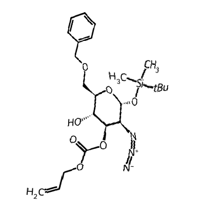 C=CCOC(=O)O[C@H]1[C@H](O)[C@@H](COCc2ccccc2)O[C@H](O[Si](C)(C)C(C)(C)C)[C@H]1N=[N+]=[N-]